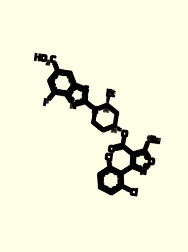 CC[C@@H]1C[C@H](OC(=O)c2c(-c3c(Cl)cccc3Cl)noc2C(C)(C)C)CCN1c1nc2c(F)cc(C(=O)O)cc2s1